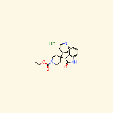 CCOC(=O)N1CCC(C2CCNCC2)(C2C(=O)Nc3ccccc32)CC1.Cl